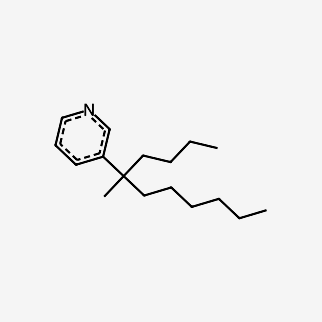 CCCCCCC(C)(CCCC)c1cccnc1